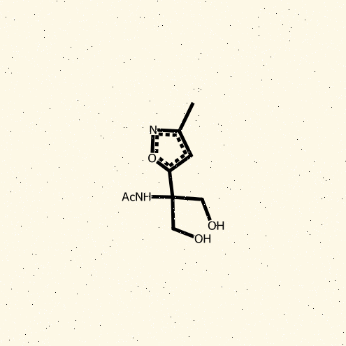 CC(=O)NC(CO)(CO)c1cc(C)no1